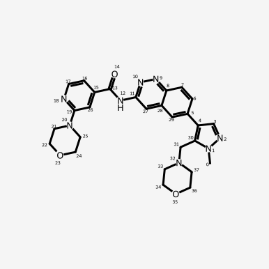 Cn1ncc(-c2ccc3nnc(NC(=O)c4ccnc(N5CCOCC5)c4)cc3c2)c1CN1CCOCC1